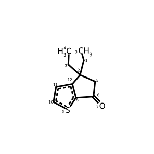 CCC1(CC)CC(=O)c2sccc21